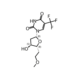 COCC[C@H]1O[C@@H](n2cc(C(F)(F)F)c(=O)[nH]c2=O)C[C@@H]1O